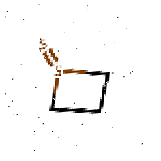 S=S1[CH]CC1